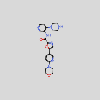 O=C(Nc1cnccc1N1CCNCC1)c1ncc(-c2ccc(N3CCOCC3)nc2)o1